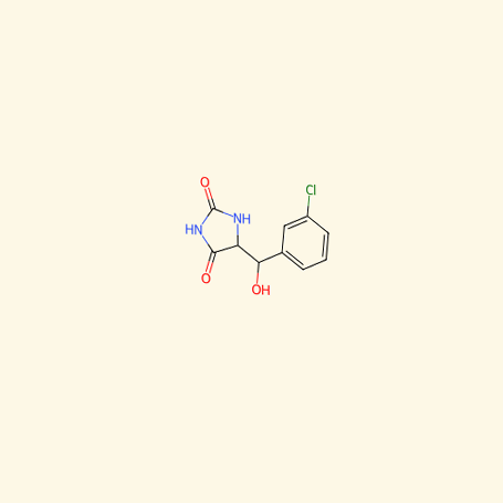 O=C1NC(=O)C(C(O)c2cccc(Cl)c2)N1